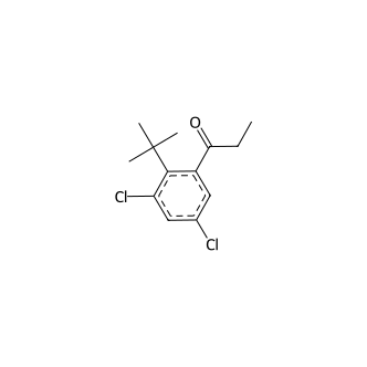 CCC(=O)c1cc(Cl)cc(Cl)c1C(C)(C)C